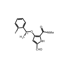 CNC(=O)c1[nH]c(C=O)cc1O[C@@H](C)c1ccccc1F